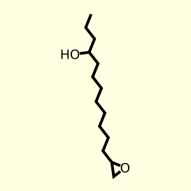 CCCC(O)CCCCCCCCC1CO1